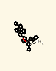 CC1(C)c2ccccc2-c2ccc(N(c3ccc(-c4cccc5c4-c4ccccc4C54c5ccccc5-c5c(-c6ccccc6)cccc54)cc3)c3ccc(-c4ccccc4)cc3-c3ccccc3)cc21